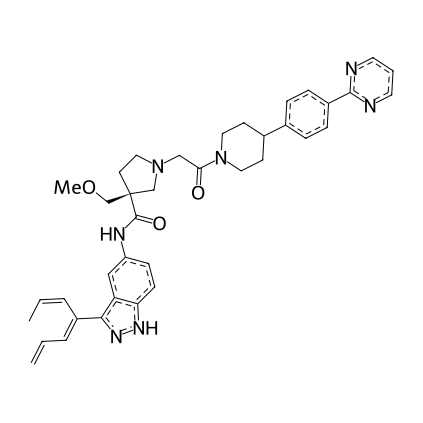 C=C/C=C(\C=C/C)c1n[nH]c2ccc(NC(=O)[C@]3(COC)CCN(CC(=O)N4CCC(c5ccc(-c6ncccn6)cc5)CC4)C3)cc12